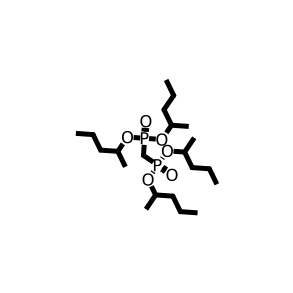 CCCC(C)OP(=O)(CP(=O)(OC(C)CCC)OC(C)CCC)OC(C)CCC